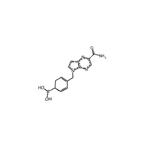 NC(=O)c1cnc2c(ccn2CC2=CCC(B(O)O)C=C2)n1